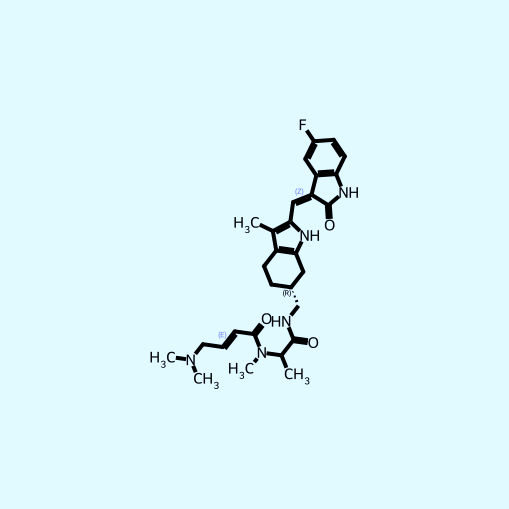 Cc1c(/C=C2\C(=O)Nc3ccc(F)cc32)[nH]c2c1CC[C@@H](CNC(=O)C(C)N(C)C(=O)/C=C/CN(C)C)C2